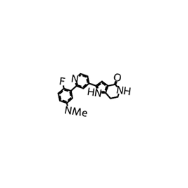 CNc1ccc(F)c(-c2cc(-c3cc4c([nH]3)CCNC4=O)ccn2)c1